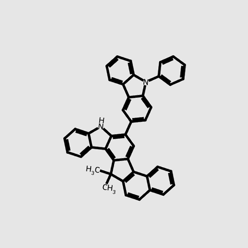 CC1(C)c2ccc3ccccc3c2-c2cc(-c3ccc4c(c3)c3ccccc3n4-c3ccccc3)c3[nH]c4ccccc4c3c21